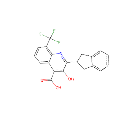 O=C(O)c1c(O)c(C2Cc3ccccc3C2)nc2c(C(F)(F)F)cccc12